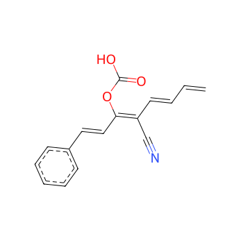 C=CC=CC(C#N)=C(C=Cc1ccccc1)OC(=O)O